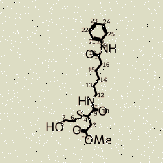 COC(=O)CC(SCCO)C(=O)NCCCCCC(=O)Nc1ccccc1